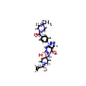 CN1CCN(C(=O)c2ccc(-n3ncc4c(=O)n(CC5(O)CCN(C(=O)C6CC6)CC5)cnc43)cc2)CC1